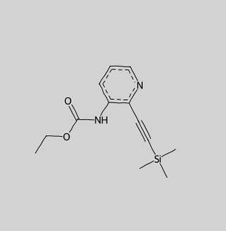 CCOC(=O)Nc1cccnc1C#C[Si](C)(C)C